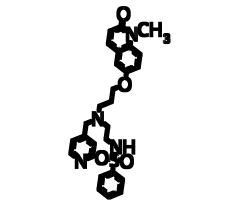 Cn1c(=O)ccc2cc(OCCCN(CCNS(=O)(=O)c3ccccc3)Cc3ccncc3)ccc21